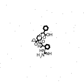 COC(=O)C1(NC(=O)C(C)c2ccccc2NC(=N)N)CCN(CC(C(=O)O)c2ccccc2)CC1